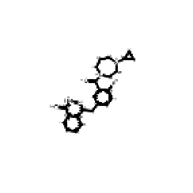 O=C(c1cc(Cc2n[nH]c(=O)c3ccccc23)ccc1F)N1CCCN(C2CC2)CC1